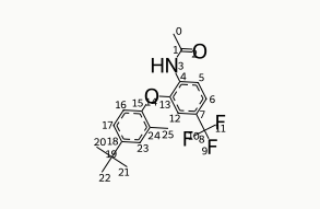 CC(=O)Nc1ccc(C(F)(F)F)cc1Oc1ccc(C(C)(C)C)cc1C